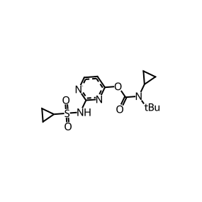 CC(C)(C)N(C(=O)Oc1ccnc(NS(=O)(=O)C2CC2)n1)C1CC1